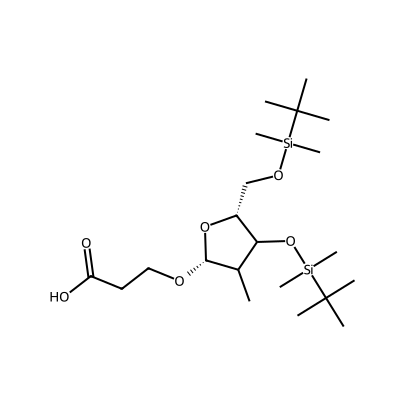 CC1C(O[Si](C)(C)C(C)(C)C)[C@@H](CO[Si](C)(C)C(C)(C)C)O[C@H]1OCCC(=O)O